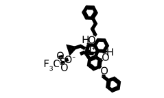 C[N+]1(CC2CC2)CC[C@]23c4c5ccc(OCc6ccccc6)c4O[C@H]2CCCC3(OCCCc2ccccc2)[C@H]1C5.O=S(=O)([O-])C(F)(F)F